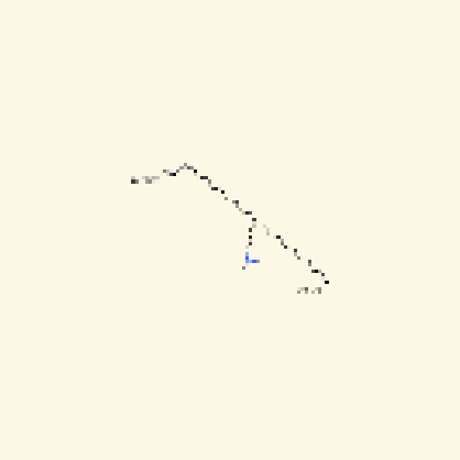 CCCCC/C=C/C=C\CCCCCCCCC(CCCCCCCC/C=C\CCCCCCCC)CCCN(C)C